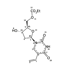 C=Cc1cn([C@H]2C[C@H](O)[C@@H](COC(=O)OCC)O2)c(=O)[nH]c1=O